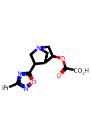 CC(C)c1noc(C2CN3CC(OC(=O)C(=O)O)C2C3)n1